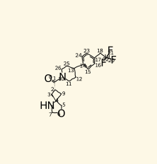 O=C([C@H]1C[C@]2(COCN2)C1)N1CCC(c2ccc(CC(F)(F)F)cc2)CC1